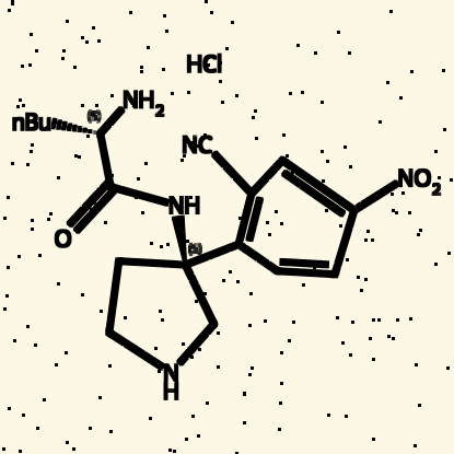 CCCC[C@H](N)C(=O)N[C@]1(c2ccc([N+](=O)[O-])cc2C#N)CCNC1.Cl